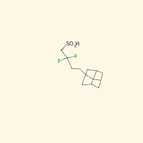 O=S(=O)(O)CC(F)(F)CCC12CC3CC4CC(C1)C432